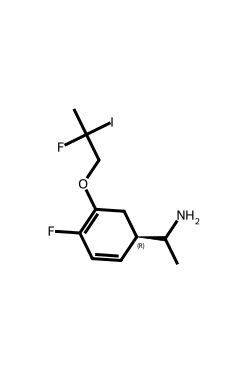 CC(N)[C@H]1C=CC(F)=C(OCC(C)(F)I)C1